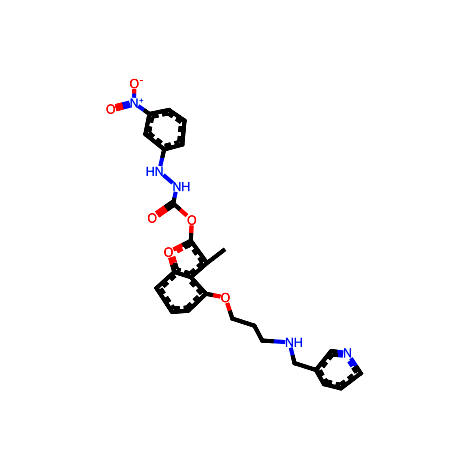 Cc1c(OC(=O)NNc2cccc([N+](=O)[O-])c2)oc2cccc(OCCCNCc3cccnc3)c12